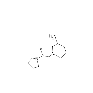 NC1CCCN(CC(F)N2CCCC2)C1